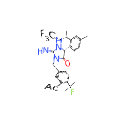 CC(=O)c1cc(CN2C(=N)N[C@H](c3ccc(C)cc3C(C)CC(F)(F)F)C2=O)ccc1C(C)(C)F